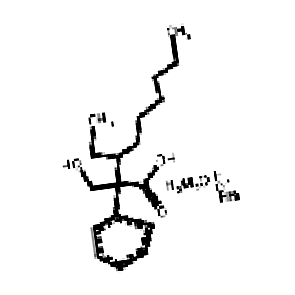 Br.CCCCCCC(CC)C(CO)(C(=O)O)c1ccccc1.O.O.O